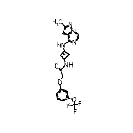 Cc1cc2c(NC34CC(NC(=O)COc5cccc(OC(F)(F)F)c5)(C3)C4)nccn2n1